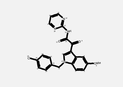 COc1ccc2c(c1)c(C(=O)C(=O)Nc1ncccn1)cn2Cc1ccc(Cl)cc1